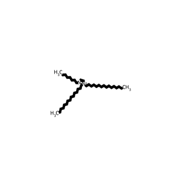 CCCCCCCCCCCCCCCC[n+]1ccn(CCCCCCCC)c1CCCCCCCCCCCCCC